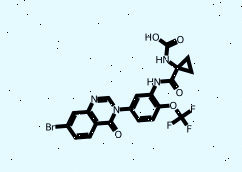 O=C(O)NC1(C(=O)Nc2cc(-n3cnc4cc(Br)ccc4c3=O)ccc2OC(F)(F)F)CC1